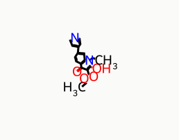 CCOC(=O)c1c(O)n(CC)c2cc(-c3ccncc3)ccc2c1=O